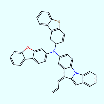 C=C/C=c1/c2cc(N(c3ccc4c(c3)oc3ccccc34)C3C=Cc4sc5ccccc5c4C3)ccc2n2c1cc1ccccc12